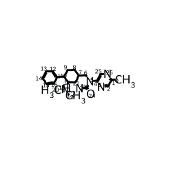 Cc1cnc(N(CC2CCC(c3ccccc3)C(N(C)C)C2)C(N)=O)cn1